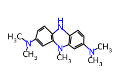 CN(C)c1ccc2c(c1)N(C)c1cc(N(C)C)ccc1N2